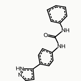 O=C(Nc1ccccc1)Nc1ccc(-c2ccn[nH]2)cc1